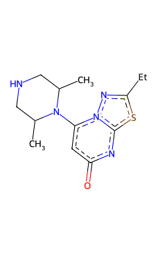 CCc1nn2c(N3C(C)CNCC3C)cc(=O)nc2s1